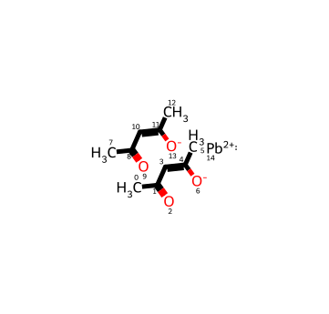 CC(=O)/C=C(/C)[O-].CC(=O)/C=C(/C)[O-].[Pb+2]